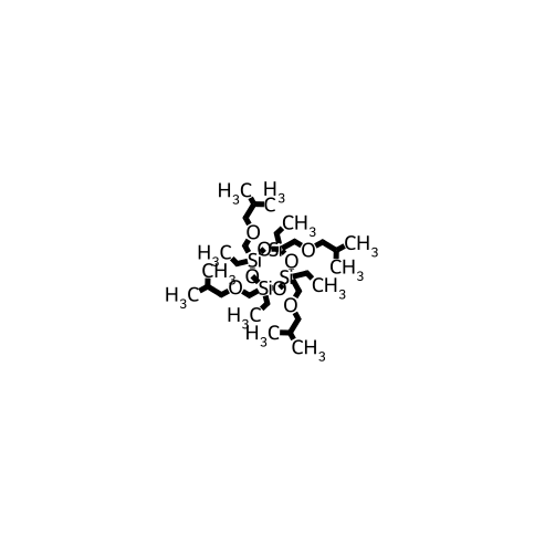 CC[Si]1(COCC(C)C)O[Si](CC)(COCC(C)C)O[Si](CC)(COCC(C)C)O[Si](CC)(COCC(C)C)O1